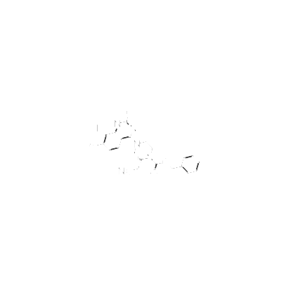 N#CC[C@H]1CN(c2nc(Cl)nc3c(F)c(Br)ccc23)CCN1C(=O)OCc1ccccc1